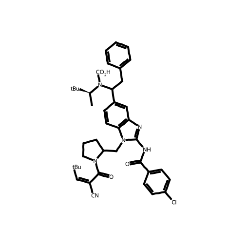 C[C@H](N(C(=O)O)C(Cc1ccccc1)c1ccc2c(c1)nc(NC(=O)c1ccc(Cl)cc1)n2CC1CCCN1C(=O)C(C#N)=CC(C)(C)C)C(C)(C)C